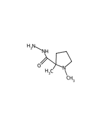 CN1CCCC1(C)C(=O)NN